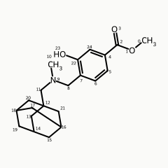 COC(=O)c1ccc(CN(C)CC23CC4CC(CC(C4)C2)C3)c(O)c1